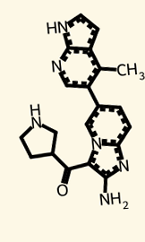 Cc1c(-c2ccc3nc(N)c(C(=O)C4CCNC4)n3c2)cnc2[nH]ccc12